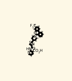 O=C(Nc1ncccc1C(=O)O)c1csc(C2CCN(C(=O)c3ccccc3-c3ccc(C(F)(F)F)cc3)CC2)n1